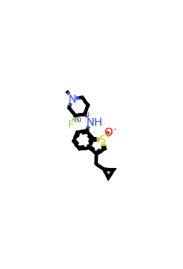 CN1CC[C@@H](Nc2cccc3c(CC4CC4)c[s+]([O-])c23)[C@@H](F)C1